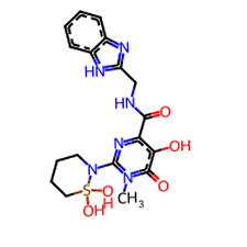 Cn1c(N2CCCCS2(O)O)nc(C(=O)NCc2nc3ccccc3[nH]2)c(O)c1=O